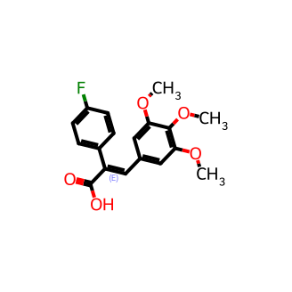 COc1cc(/C=C(/C(=O)O)c2ccc(F)cc2)cc(OC)c1OC